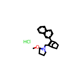 CO[C@@H]1CCCN1CC1=C(c2ccc3ccccc3c2)C2CCC1C2.Cl